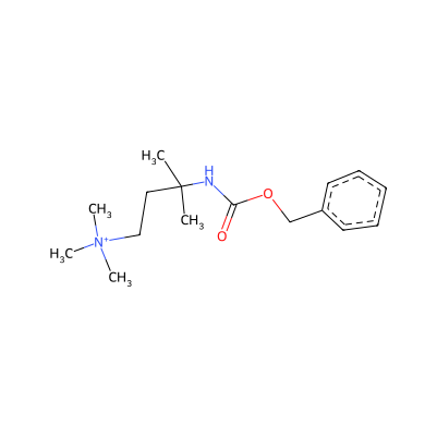 CC(C)(CC[N+](C)(C)C)NC(=O)OCc1ccccc1